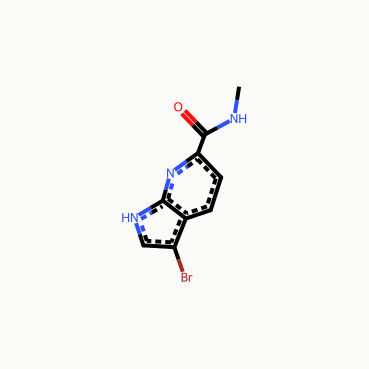 CNC(=O)c1ccc2c(Br)c[nH]c2n1